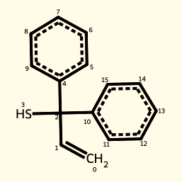 C=CC(S)(c1ccccc1)c1ccccc1